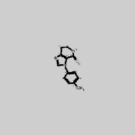 Cc1ccc(-n2cnc3c2C(=O)OCC3)cc1